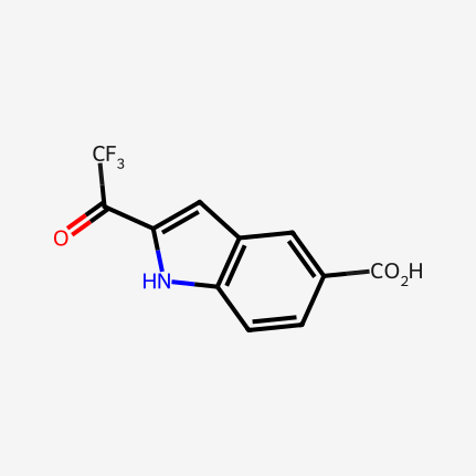 O=C(O)c1ccc2[nH]c(C(=O)C(F)(F)F)cc2c1